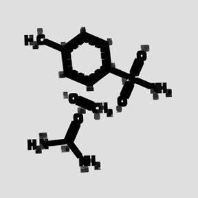 C=O.Cc1ccc(S(N)(=O)=O)cc1.NC(N)=O